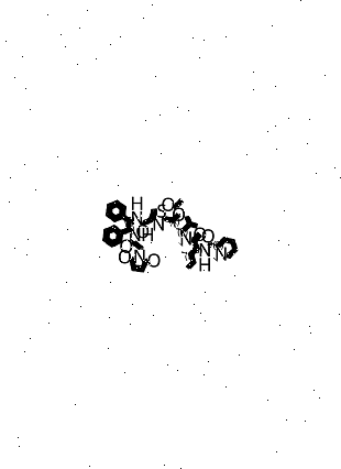 CC[C@H](C)[C@H](NC(=O)[C@H]1CCCCN1C)C(=O)N(C)[C@H](C[C@@H](OC(C)=O)c1nc(C(=O)N[C@@H](c2ccccc2)[C@@H](NC(=O)CN2C(=O)C=CC2=O)c2ccccc2)cs1)C(C)C